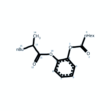 CCCCCCC(=O)Oc1ccccc1OC(=O)C(C)CCCC